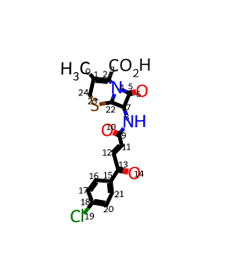 CC1=C(C(=O)O)N2C(=O)C(NC(=O)C=CC(=O)c3ccc(Cl)cc3)C2SC1